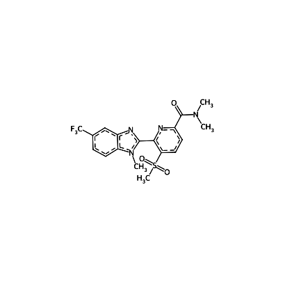 CN(C)C(=O)c1ccc(S(C)(=O)=O)c(-c2nc3cc(C(F)(F)F)ccc3n2C)n1